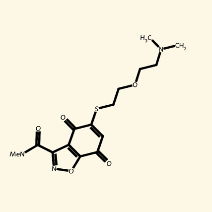 CNC(=O)c1noc2c1C(=O)C(SCCOCCN(C)C)=CC2=O